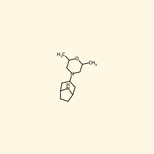 CC1CN(C2CC3CCC(C2)N3)CC(C)O1